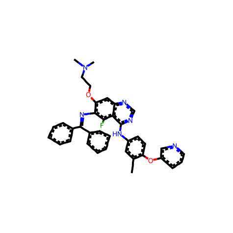 Cc1cc(Nc2ncnc3cc(OCCN(C)C)c(N=C(c4ccccc4)c4ccccc4)c(F)c23)ccc1Oc1cccnc1